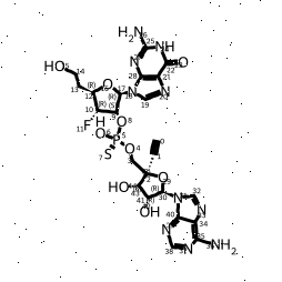 C#C[C@]1(COP(O)(=S)O[C@@H]2[C@H](F)[C@@H](CCO)O[C@H]2n2cnc3c(=O)[nH]c(N)nc32)O[C@@H](n2cnc3c(N)ncnc32)[C@H](O)[C@@H]1O